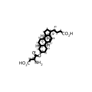 C[C@H](CCC(=O)O)C1CC[C@H]2[C@@H]3CC[C@@H]4C[C@H](OC(=O)[C@@H](N)CC(=O)O)CC[C@]4(C)[C@H]3C=C[C@]12C